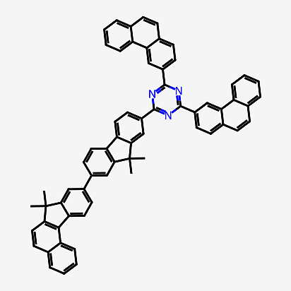 CC1(C)c2cc(-c3ccc4c(c3)C(C)(C)c3ccc5ccccc5c3-4)ccc2-c2ccc(-c3nc(-c4ccc5ccc6ccccc6c5c4)nc(-c4ccc5ccc6ccccc6c5c4)n3)cc21